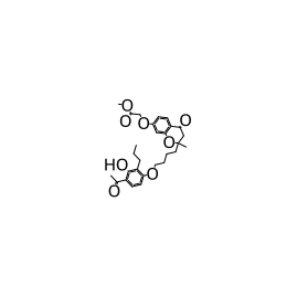 CCCc1c(OCCCCC2(C)CC(=O)c3ccc(OCC(=O)OC)cc3O2)ccc(C(C)=O)c1O